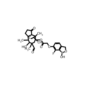 CC1C(O)C(C)(C=O)CC(OC(=O)COc2ccc3c(c2F)B(O)OC3)C2(C)C(C)CCC13CCC(=O)C32